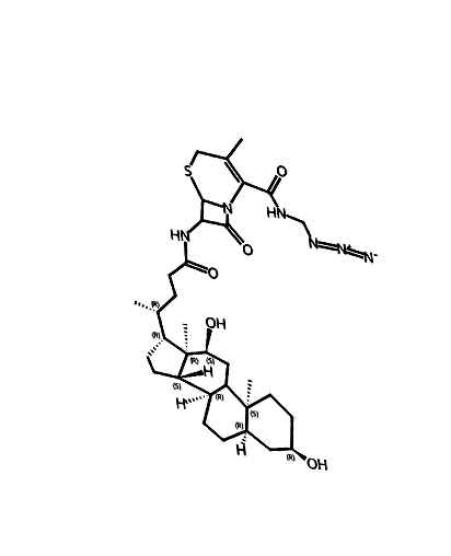 CC1=C(C(=O)NCN=[N+]=[N-])N2C(=O)C(NC(=O)CC[C@@H](C)[C@H]3CC[C@H]4[C@@H]5CC[C@@H]6C[C@H](O)CC[C@]6(C)C5C[C@H](O)[C@]34C)C2SC1